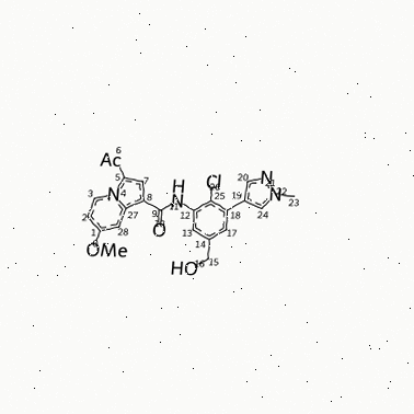 COc1ccn2c(C(C)=O)cc(C(=O)Nc3cc(CO)cc(-c4cnn(C)c4)c3Cl)c2c1